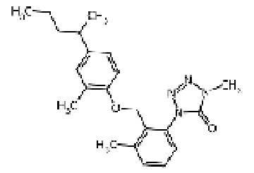 CCCC(C)c1ccc(OCc2c(C)cccc2-n2nnn(C)c2=O)c(C)c1